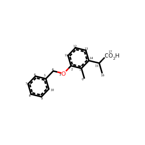 Cc1c(OCc2ccccc2)cccc1C(C)C(=O)O